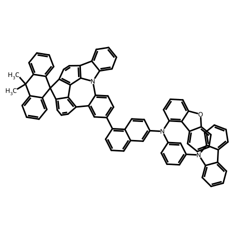 CC1(C)c2ccccc2C2(c3ccccc31)c1cccc3c1-c1c2ccc2c4ccccc4n(c12)-c1ccc(-c2cccc4cc(N(c5cccc(-n6c7ccccc7c7ccccc76)c5)c5cccc6oc7ccccc7c56)ccc24)cc1-3